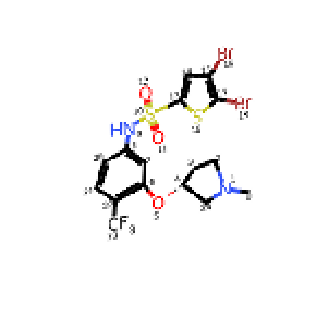 CN1CC[C@@H](Oc2cc(NS(=O)(=O)c3cc(Br)c(Br)s3)ccc2C(F)(F)F)C1